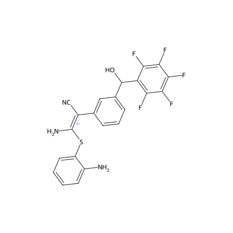 N#C/C(=C(\N)Sc1ccccc1N)c1cccc(C(O)c2c(F)c(F)c(F)c(F)c2F)c1